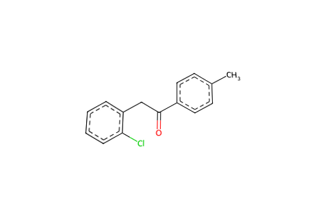 Cc1ccc(C(=O)Cc2ccccc2Cl)cc1